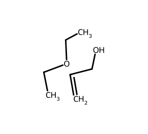 C=CCO.CCOCC